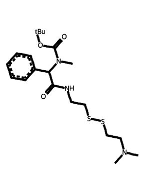 CN(C)CCSSCCNC(=O)C(c1ccccc1)N(C)C(=O)OC(C)(C)C